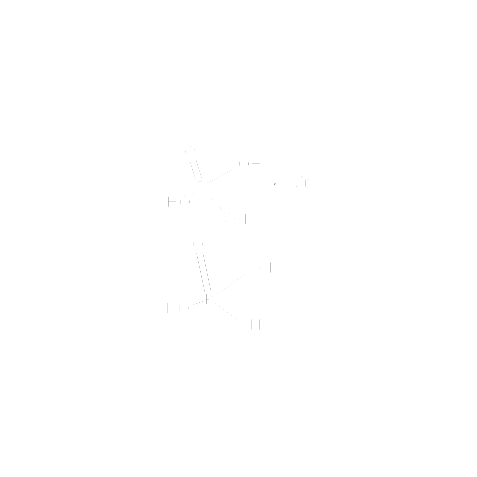 O=P(O)(O)O.O=P(O)(O)O.[V].[Zr]